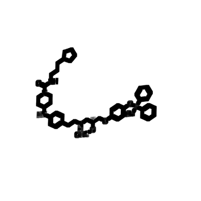 CC(C)(C)[Si](Oc1ccc(OC[C@H](CNCCc2ccc(NC3CCN(C(=O)NCCCC4CCCC4)CC3)cc2)OC=O)cc1)(c1ccccc1)c1ccccc1